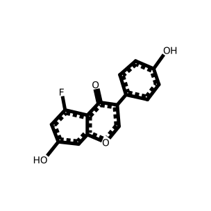 O=c1c(-c2ccc(O)cc2)coc2cc(O)cc(F)c12